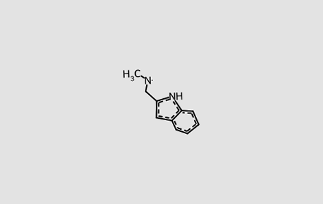 C[N]Cc1cc2ccccc2[nH]1